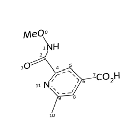 CONC(=O)c1cc(C(=O)O)cc(C)n1